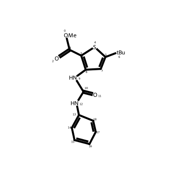 COC(=O)c1sc(C(C)(C)C)cc1NC(=O)Nc1ccccc1